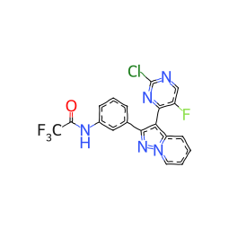 O=C(Nc1cccc(-c2nn3ccccc3c2-c2nc(Cl)ncc2F)c1)C(F)(F)F